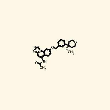 COC1(c2cccc(COc3ccc4c(NC(C)=O)cc5nncn5c4c3)c2)CCOCC1